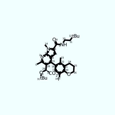 Cc1nc2c(cc(C(=O)NCCC(C)(C)C)n2C)c(-c2cc(F)c3c(c2C)CCCO3)c1[C@H](OC(C)(C)C)C(=O)O